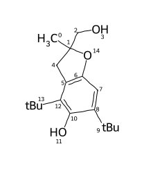 CC1(CO)Cc2c(cc(C(C)(C)C)c(O)c2C(C)(C)C)O1